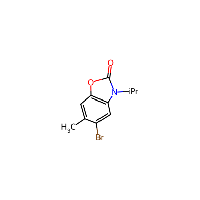 Cc1cc2oc(=O)n(C(C)C)c2cc1Br